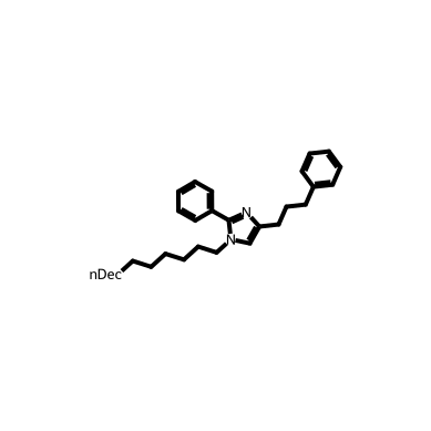 CCCCCCCCCCCCCCCCn1cc(CCCc2ccccc2)nc1-c1ccccc1